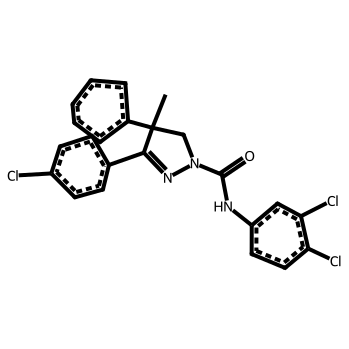 CC1(c2ccccc2)CN(C(=O)Nc2ccc(Cl)c(Cl)c2)N=C1c1ccc(Cl)cc1